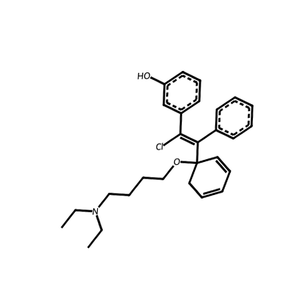 CCN(CC)CCCCOC1(C(=C(Cl)c2cccc(O)c2)c2ccccc2)C=CC=CC1